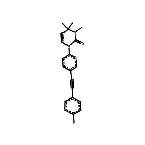 CN1C(=O)N(c2ccc(C#Cc3ccc(F)cc3)cn2)C=CC1(C)C